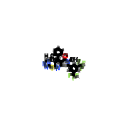 Cc1ccccc1-c1cc(Sc2nncn2C)ncc1C(=O)N(C)Cc1cc(C(F)(F)F)cc(C(F)(F)F)c1